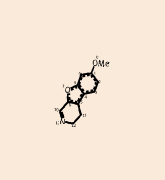 COc1ccc2c3c(oc2c1)C=NCC3